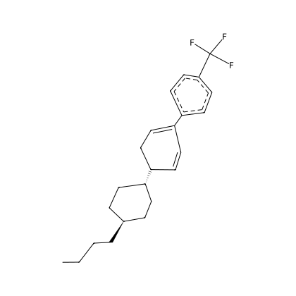 CCCC[C@H]1CC[C@H](C2C=CC(c3ccc(C(F)(F)F)cc3)=CC2)CC1